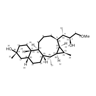 COC[C@@H](O)[C@@H](C)[C@@H]1CCC[C@@H]2[C@H]3CC[C@@](C)(O)C[C@H]3CC[C@H]2[C@@H](C)[C@@H]2[C@H](C)[C@H]12